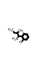 C=C(CC)C(N)c1ccccc1Cl